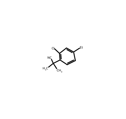 CCc1ccc(C(C)(C)C#N)c(Cl)c1